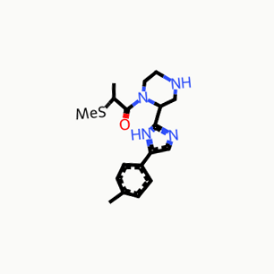 CSC(C)C(=O)N1CCNCC1c1ncc(-c2ccc(C)cc2)[nH]1